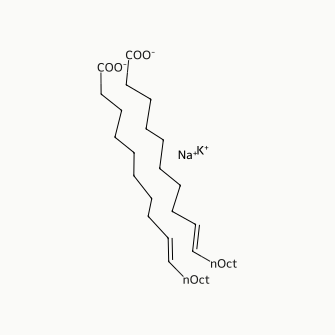 CCCCCCCCC=CCCCCCCCC(=O)[O-].CCCCCCCCC=CCCCCCCCC(=O)[O-].[K+].[Na+]